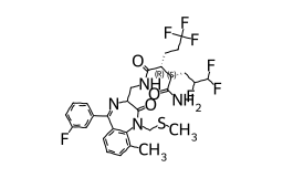 CSCN1C(=O)C(CNC(=O)[C@H](CCC(F)(F)F)[C@H](CC(F)C(F)F)C(N)=O)N=C(c2cccc(F)c2)c2cccc(C)c21